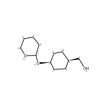 OC[C@H]1CC[C@@H](OC2CCCCO2)CC1